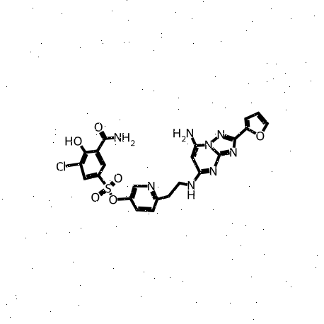 NC(=O)c1cc(S(=O)(=O)Oc2ccc(CCNc3cc(N)n4nc(-c5ccco5)nc4n3)nc2)cc(Cl)c1O